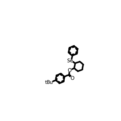 CC(C)(C)c1ccc(C(=O)OC2CCCCC2[Se]c2ccccc2)cc1